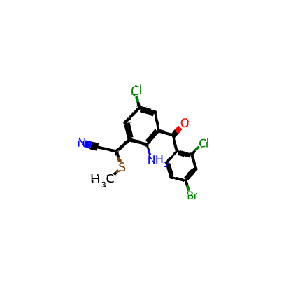 CSC(C#N)c1cc(Cl)cc(C(=O)c2ccc(Br)cc2Cl)c1N